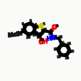 CSc1ccc2sc(C(=O)NCc3ccccc3)c(O)c2c1